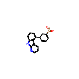 O=[SH](=O)C1=CC=CC(c2cccc3[nH]c4ncccc4c23)C1